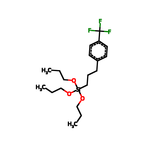 CCCO[Si](CCCc1ccc(C(F)(F)F)cc1)(OCCC)OCCC